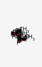 CCCN(CCC)C(=O)c1cc(C(=O)N[C@@H](Cc2cc(F)cc(F)c2)[C@H](O)CNCc2cccc(CC)c2)cc(-c2conc2C)c1